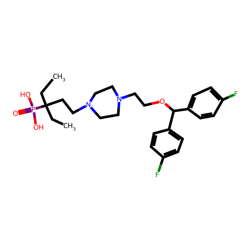 CCC(CC)(CCN1CCN(CCOC(c2ccc(F)cc2)c2ccc(F)cc2)CC1)P(=O)(O)O